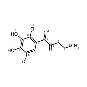 CCCNC(=O)c1cc(Cl)c(O)c(O)c1Cl